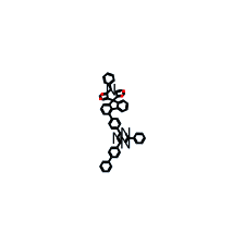 c1ccc(-c2ccc(-c3nc(-c4ccccc4)nc(-c4ccc(-c5cccc6c5-c5ccccc5C65c6ccccc6N(c6ccccc6)c6ccccc65)cc4)n3)cc2)cc1